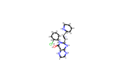 O=c1c2nccnc2nc(/C=C/c2ccccn2)n1-c1ccccc1Cl